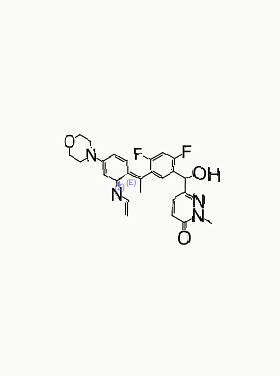 C=C/N=C1/C=C(N2CCOCC2)C=C/C1=C(/C)c1cc(C(O)c2ccc(=O)n(C)n2)c(F)cc1F